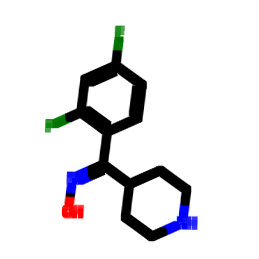 O/N=C(/c1ccc(F)cc1F)C1CCNCC1